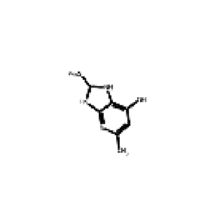 CSC1Nc2nc(C)cc(O)c2N1